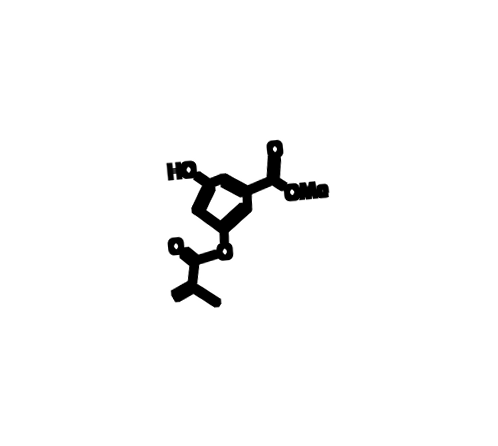 C=C(C)C(=O)Oc1cc(O)cc(C(=O)OC)c1